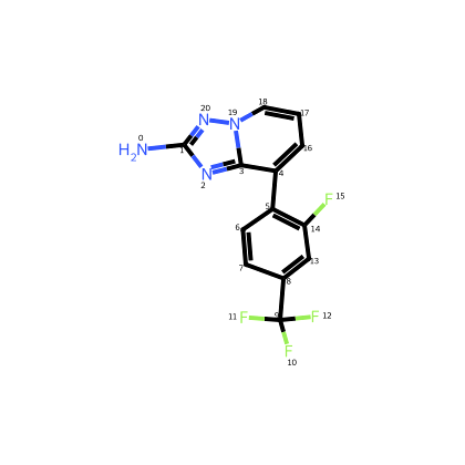 Nc1nc2c(-c3ccc(C(F)(F)F)cc3F)cccn2n1